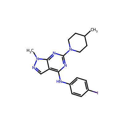 CC1CCN(c2nc(Nc3ccc(I)cc3)c3cnn(C)c3n2)CC1